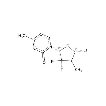 CC[C@H]1O[C@@H](n2ccc(C)nc2=O)C(F)(F)C1C